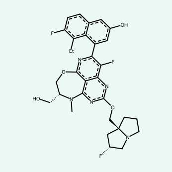 CCc1c(F)ccc2cc(O)cc(-c3nc4c5c(nc(OC[C@@]67CCCN6C[C@H](F)C7)nc5c3F)N(C)[C@H](CO)CO4)c12